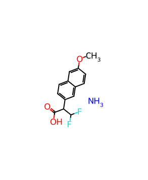 COc1ccc2cc(C(C(=O)O)C(F)F)ccc2c1.N